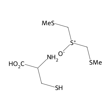 CSC[S+]([O-])CSC.NC(CS)C(=O)O